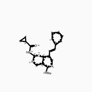 CNc1ncc(C=Cc2ccccc2)c2cc(NC(=O)C3CC3)ncc12